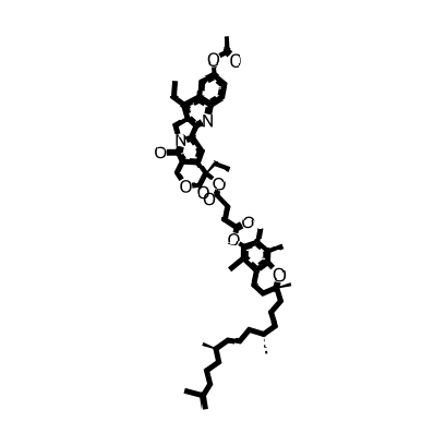 CCc1c2c(nc3ccc(OC(C)=O)cc13)-c1cc3c(c(=O)n1C2)COC(=O)[C@@]3(CC)OC(=O)CCC(=O)Oc1c(C)c(C)c2c(c1C)CC[C@@](C)(CCC[C@H](C)CCC[C@H](C)CCCC(C)C)O2